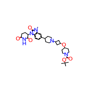 Cn1c(=O)n(C2CCC(=O)NC2=O)c2ccc(C3CCN(C4CC(OC5CCN(C(=O)OC(C)(C)C)CC5)C4)CC3)cc21